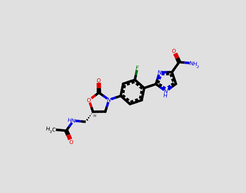 CC(=O)NC[C@H]1CN(c2ccc(-c3nc(C(N)=O)c[nH]3)c(F)c2)C(=O)O1